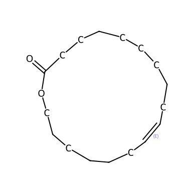 O=C1CCCCCCCC/C=C/CCCCCCO1